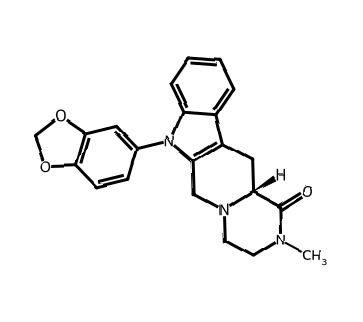 CN1CCN2Cc3c(c4ccccc4n3-c3ccc4c(c3)OCO4)C[C@@H]2C1=O